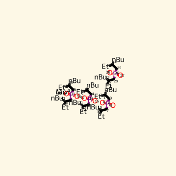 CCCCC(CC)CP(=O)([O-])CC(CC)CCCC.CCCCC(CC)CP(=O)([O-])CC(CC)CCCC.CCCCC(CC)CP(=O)([O-])CC(CC)CCCC.CCCCC(CC)CP(=O)([O-])CC(CC)CCCC.[Mo+4]